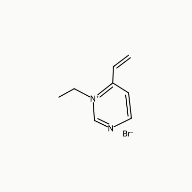 C=Cc1ccnc[n+]1CC.[Br-]